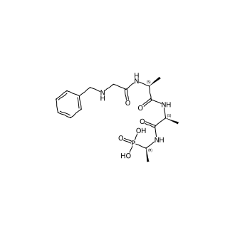 C[C@H](NC(=O)CNCc1ccccc1)C(=O)N[C@@H](C)C(=O)N[C@@H](C)P(=O)(O)O